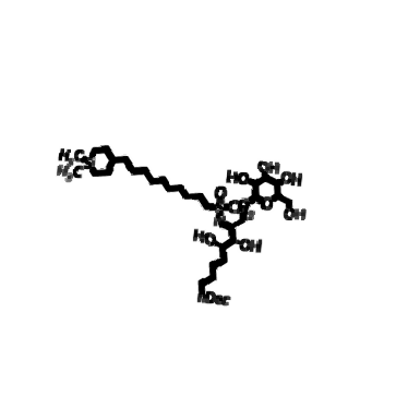 CCCCCCCCCCCCCC[C@@H](O)[C@@H](O)[C@H](COC1OC(CO)C(O)C(O)C1O)N=S(C)(=O)CCCCCCCCCCC1CC[Si](C)(C)CC1